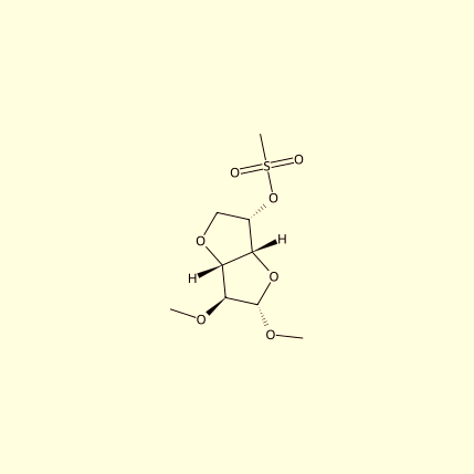 CO[C@H]1O[C@@H]2[C@@H](OC[C@@H]2OS(C)(=O)=O)[C@@H]1OC